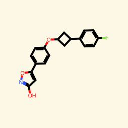 Oc1cc(-c2ccc(OC3CC(c4ccc(F)cc4)C3)cc2)on1